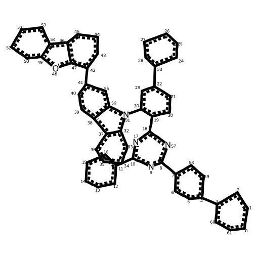 c1ccc(-c2ccc(-c3nc(-c4ccccc4)nc(-c4ccc(-c5ccccc5)cc4-n4c5ccccc5c5ccc(-c6cccc7c6oc6ccccc67)cc54)n3)cc2)cc1